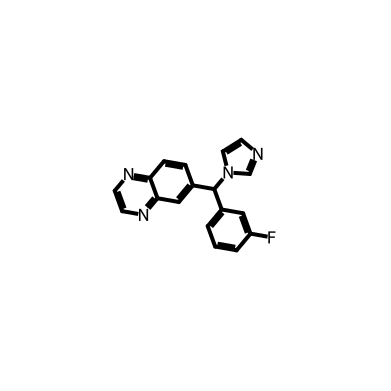 Fc1cccc(C(c2ccc3nccnc3c2)n2ccnc2)c1